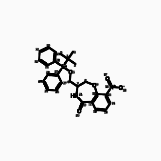 CC(C)(C)[Si](OCC1COc2c(cccc2[N+](=O)[O-])C(=O)N1)(c1ccccc1)c1ccccc1